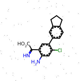 N=C(C(=O)O)c1cc(-c2ccc3c(c2)CCC3)c(Cl)cc1N